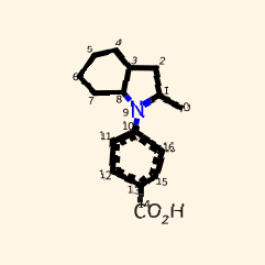 CC1CC2CCCCC2N1c1ccc(C(=O)O)cc1